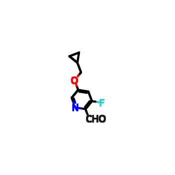 O=Cc1ncc(OCC2CC2)cc1F